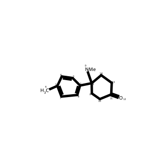 CNC1(c2ccc(C)cc2)CCC(=O)CC1